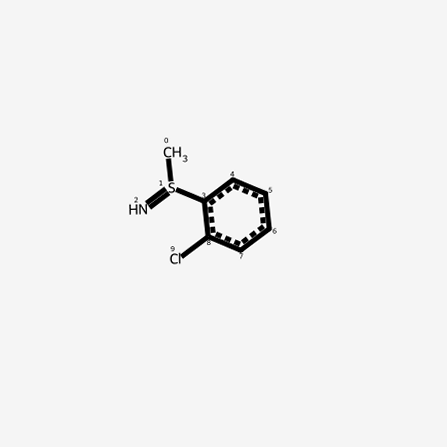 CS(=N)c1ccccc1Cl